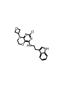 Clc1nc(NCCc2c[nH]c3ccccc23)c2c(n1)N(C1COC1)CCO2